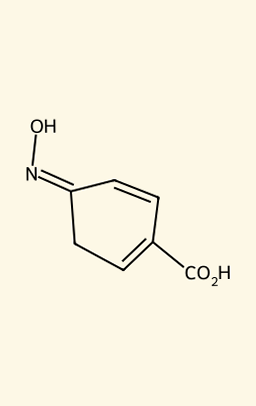 O=C(O)C1=CCC(=NO)C=C1